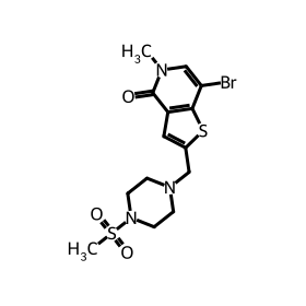 Cn1cc(Br)c2sc(CN3CCN(S(C)(=O)=O)CC3)cc2c1=O